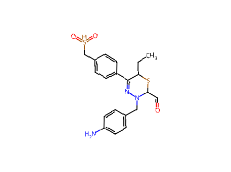 CCC1SC(C=O)N(Cc2ccc(N)cc2)N=C1c1ccc(C[SH](=O)=O)cc1